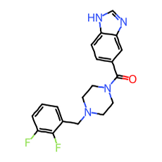 O=C(c1ccc2[nH]cnc2c1)N1CCN(Cc2cccc(F)c2F)CC1